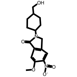 COc1cc2c(cc1[N+](=O)[O-])CN(C1CCC(CO)CC1)C2=O